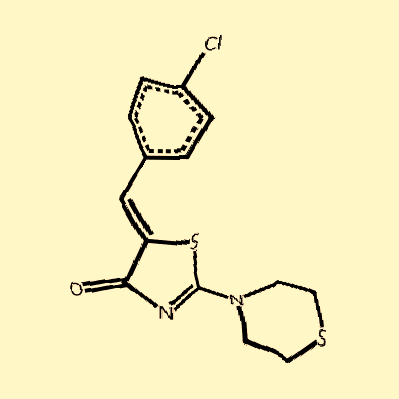 O=C1N=C(N2CCSCC2)S/C1=C\c1ccc(Cl)cc1